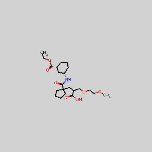 CCOC(=O)[C@@H]1CCC[C@H](NC(=O)C2(CC(COCCOC)C(=O)O)CCCC2)C1